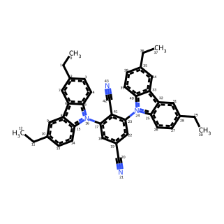 CCc1ccc2c(c1)c1cc(CC)ccc1n2-c1cc(C#N)cc(-n2c3ccc(CC)cc3c3cc(CC)ccc32)c1C#N